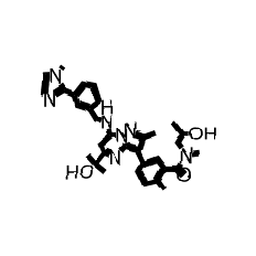 Cc1ccc(-c2c(C)nn3c(NCc4cccc(-c5nccn5C)c4)cc(C(C)(C)O)nc23)cc1C(=O)N(C)CC(C)O